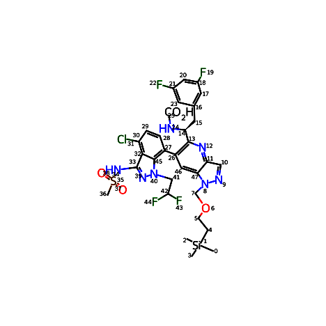 C[Si](C)(C)CCOCn1ncc2nc([C@H](Cc3cc(F)cc(F)c3)NC(=O)O)c(-c3ccc(Cl)c4c(NS(C)(=O)=O)nn(CC(F)F)c34)cc21